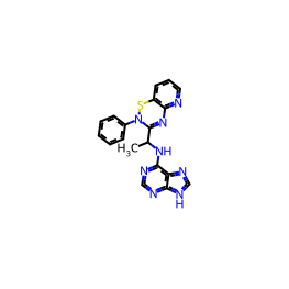 CC(Nc1ncnc2[nH]cnc12)C1=Nc2ncccc2SN1c1ccccc1